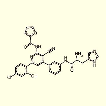 N#Cc1c(-c2cccc(NC(=O)[C@@H](N)Cc3cnc[nH]3)c2)cc(-c2ccc(Cl)cc2O)nc1NC(=O)c1ccco1